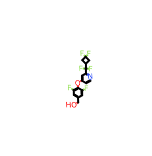 OCc1cc(F)c(Oc2ccnc(C(F)(F)C3CC(F)(F)C3)c2)c(F)c1